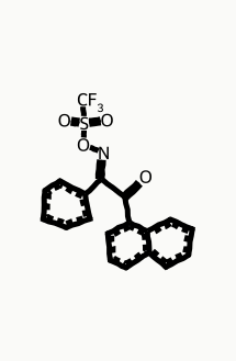 O=C(/C(=N/OS(=O)(=O)C(F)(F)F)c1ccccc1)c1cccc2ccccc12